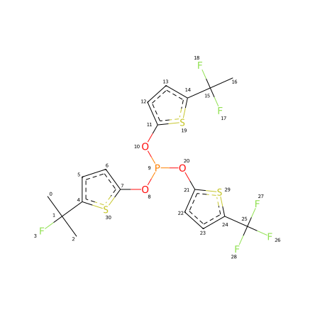 CC(C)(F)c1ccc(OP(Oc2ccc(C(C)(F)F)s2)Oc2ccc(C(F)(F)F)s2)s1